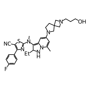 CCC1NN2C(C)=CC(N3CCC4(CN(CCCO)C4)C3)=CC2=C1N(C)c1nc(-c2ccc(F)cc2)c(C#N)s1